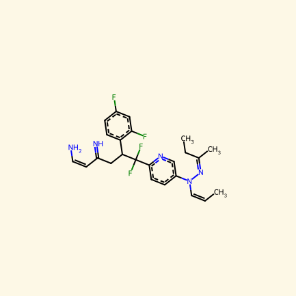 C/C=C\N(/N=C(/C)CC)c1ccc(C(F)(F)C(CC(=N)/C=C\N)c2ccc(F)cc2F)nc1